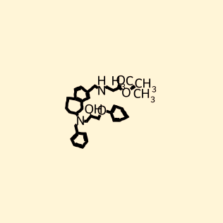 CC(C)(C)OC(=O)CCNCc1ccc2c(c1)CC(N(Cc1ccccc1)C[C@H](O)COc1ccccc1)CCC2